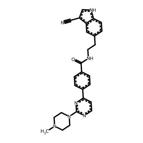 CN1CCN(c2nccc(-c3ccc(C(=O)NCCc4ccc5[nH]cc(C#N)c5c4)cc3)n2)CC1